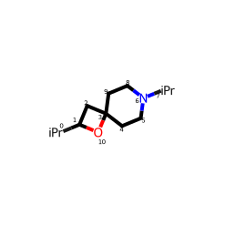 CC(C)C1CC2(CCN(C(C)C)CC2)O1